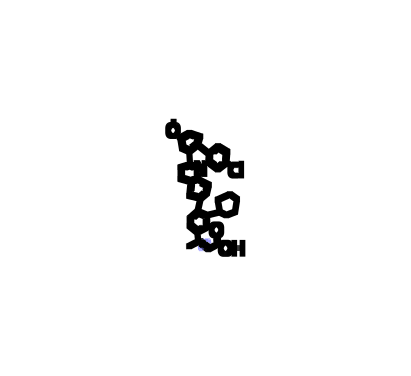 COc1ccc(-c2ccc(Cl)cc2)c(-c2ccc3cc(-c4ccc(/C(C)=C\C(=O)O)cc4C4CCCCC4)ccc3n2)c1